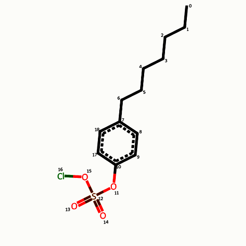 CCCCCCCc1ccc(OS(=O)(=O)OCl)cc1